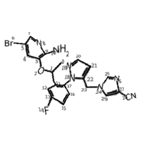 CC(Oc1cc(Br)cnc1N)c1cc(F)ccc1-n1nccc1Cn1cnc(C#N)c1